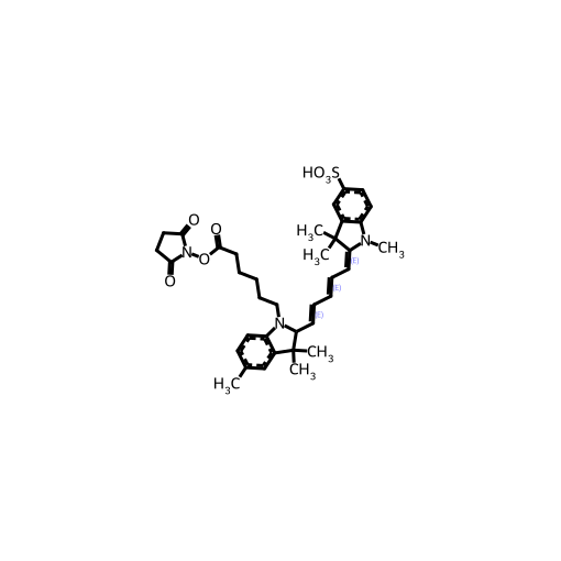 Cc1ccc2c(c1)C(C)(C)C(/C=C/C=C/C=C1/N(C)c3ccc(S(=O)(=O)O)cc3C1(C)C)N2CCCCCC(=O)ON1C(=O)CCC1=O